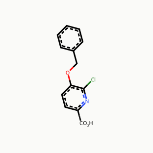 O=C(O)c1ccc(OCc2ccccc2)c(Cl)n1